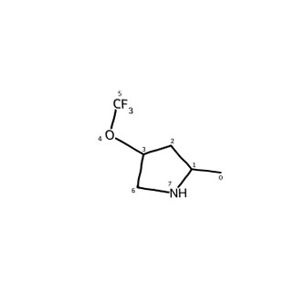 CC1CC(OC(F)(F)F)CN1